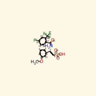 COc1cccc(/C=C/S(=O)(=O)O)c1.NC(=O)c1ccc(F)cc1C(F)(F)F